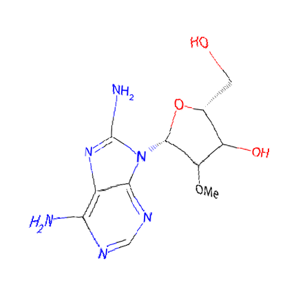 COC1C(O)[C@@H](CO)O[C@H]1n1c(N)nc2c(N)ncnc21